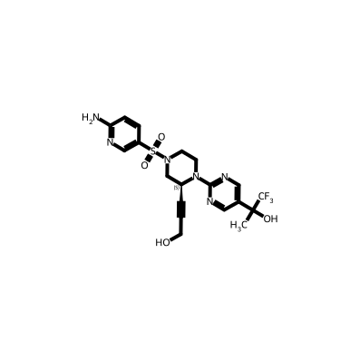 CC(O)(c1cnc(N2CCN(S(=O)(=O)c3ccc(N)nc3)C[C@@H]2C#CCO)nc1)C(F)(F)F